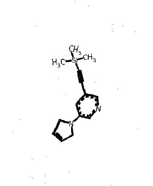 C[Si](C)(C)C#Cc1cncc(N2CC=CC2)c1